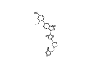 CCc1cc(O)ccc1-c1ccc2c(-c3nc(C4=CCN(Cc5cnc[nH]5)C4)c[nH]3)n[nH]c2c1